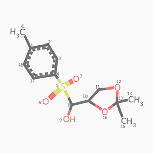 Cc1ccc(S(=O)(=O)C(O)C2COC(C)(C)O2)cc1